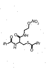 CC(C)C(=O)NC(CSC(=O)C(C)C)C(=O)NCCO[N+](=O)[O-]